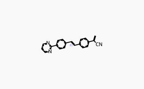 C=C(C#N)c1ccc(/C=C/c2ccc(-c3ncccn3)cc2)cc1